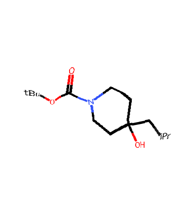 CC(C)CC1(O)CCN(C(=O)OC(C)(C)C)CC1